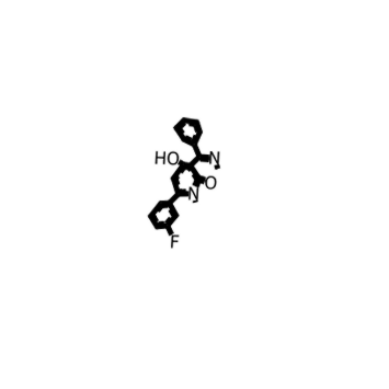 CN=C(c1ccccc1)c1c(O)cc(-c2cccc(F)c2)n(C)c1=O